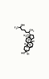 CC[C@]1(O)CC[C@H]2C(=CC[C@@H]3[C@@H]2CC[C@]2(C)[C@@H](C(C)CCCC(O)C(F)(F)F)CC[C@@H]32)C1